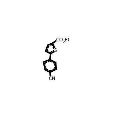 CCOC(=O)c1ccc(-c2ccc(C#N)cc2)s1